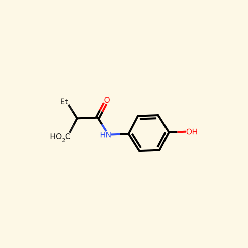 CCC(C(=O)O)C(=O)Nc1ccc(O)cc1